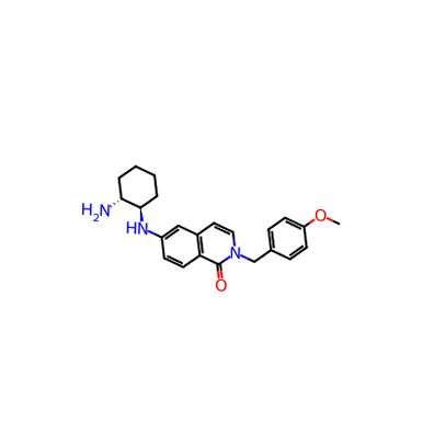 COc1ccc(Cn2ccc3cc(N[C@@H]4CCCC[C@H]4N)ccc3c2=O)cc1